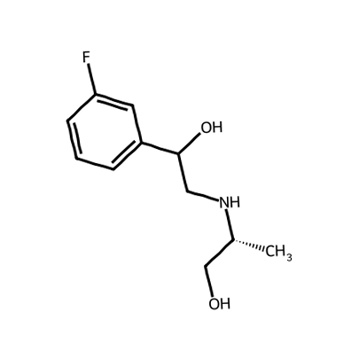 C[C@H](CO)NCC(O)c1cccc(F)c1